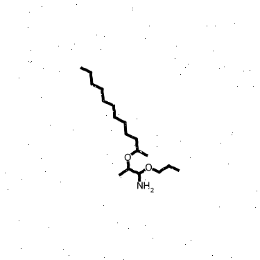 CCCCCCCCCCC(C)OC(C)C(N)OCCC